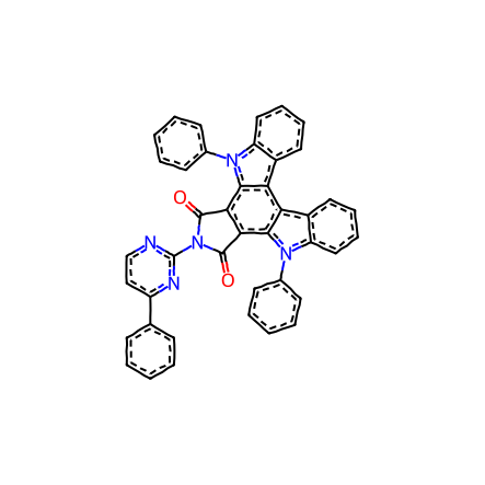 O=C1c2c(c3c(c4ccccc4n3-c3ccccc3)c3c4ccccc4n(-c4ccccc4)c23)C(=O)N1c1nccc(-c2ccccc2)n1